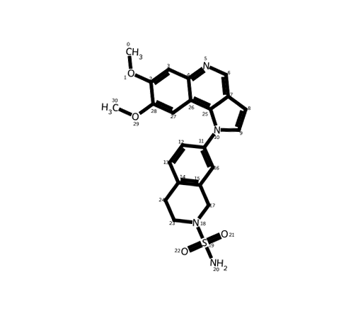 COc1cc2ncc3ccn(-c4ccc5c(c4)CN(S(N)(=O)=O)CC5)c3c2cc1OC